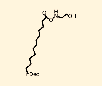 CCCCCCCCCCCCCCCCCCCCCC(=O)ONCCO